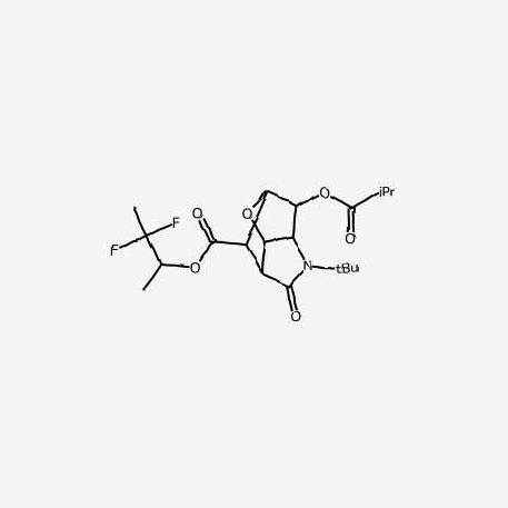 CC(C)C(=O)OC1C2OC3C(C(=O)N(C(C)(C)C)C13)C2C(=O)OC(C)C(C)(F)F